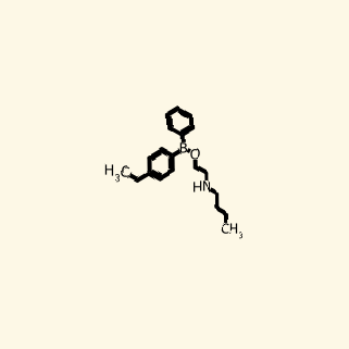 CCCCNCCOB(c1ccccc1)c1ccc(CC)cc1